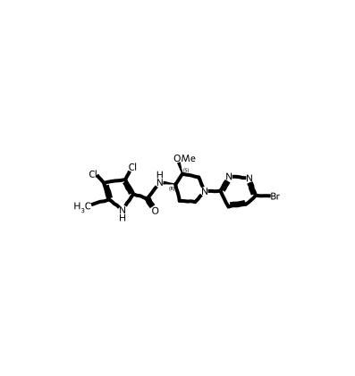 CO[C@H]1CN(c2ccc(Br)nn2)CC[C@H]1NC(=O)c1[nH]c(C)c(Cl)c1Cl